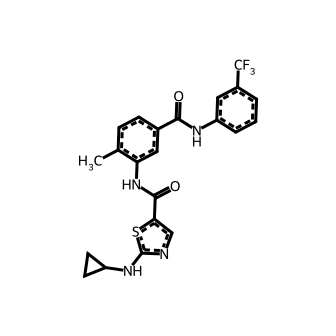 Cc1ccc(C(=O)Nc2cccc(C(F)(F)F)c2)cc1NC(=O)c1cnc(NC2CC2)s1